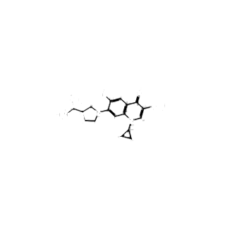 C[C@@H](N)[C@@H]1CCN(c2cc3c(cc2F)c(=O)c(C(=O)O)cn3C2CC2)C1